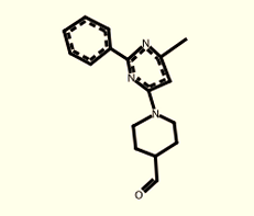 Cc1cc(N2CCC(C=O)CC2)nc(-c2ccccc2)n1